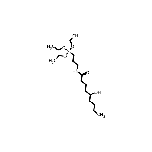 CCCCC(O)CCCC(=O)NCCC[Si](OCC)(OCC)OCC